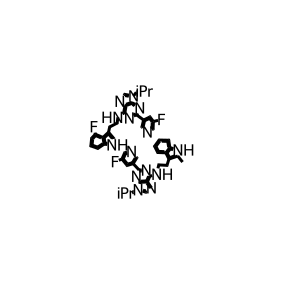 CC(C)n1cnc2c(NCCc3c[nH]c4cccc(F)c34)nc(-c3cncc(F)c3)nc21.Cc1[nH]c2ccccc2c1CCNc1nc(-c2cncc(F)c2)nc2c1ncn2C(C)C